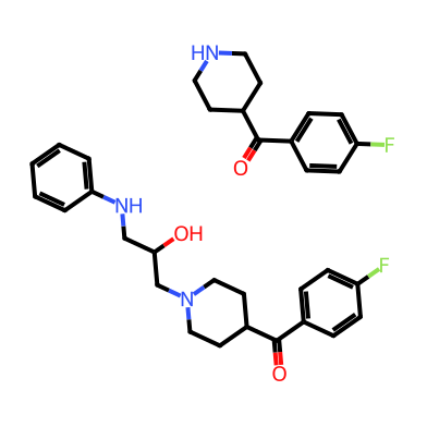 O=C(c1ccc(F)cc1)C1CCN(CC(O)CNc2ccccc2)CC1.O=C(c1ccc(F)cc1)C1CCNCC1